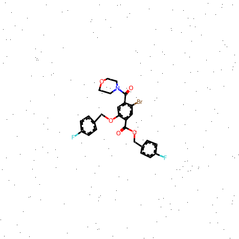 O=C(OCc1ccc(F)cc1)c1cc(Br)c(C(=O)N2CCOCC2)cc1OCc1ccc(F)cc1